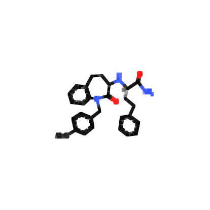 COc1ccc(CN2C(=O)C(N[C@@H](CCc3ccccc3)C(N)=O)CCc3ccccc32)cc1